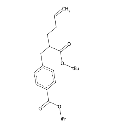 C=CCCC(Cc1ccc(C(=O)OC(C)C)cc1)C(=O)OC(C)(C)C